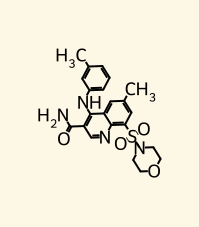 Cc1cccc(Nc2c(C(N)=O)cnc3c(S(=O)(=O)N4CCOCC4)cc(C)cc23)c1